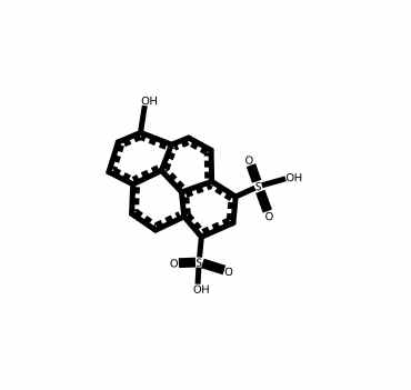 O=S(=O)(O)c1cc(S(=O)(=O)O)c2ccc3c(O)ccc4ccc1c2c43